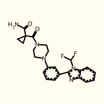 NC(=O)C1(C(=O)N2CCN(c3cccc(-c4nc5ccccc5n4C(F)F)c3)CC2)CC1